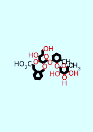 CC1O[C@@H](OC2[C@H](C)CCC[C@H]2O[C@@H]2OC(CO)[C@H](O)C3O[C@@H](C(=O)O)Cc4ccccc4COC32)[C@@H](O)C(O)[C@@H]1O